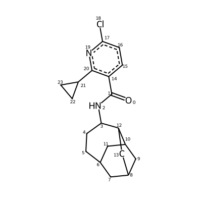 O=C(NC1CCC2CC3CC(C2)C1C3)c1ccc(Cl)nc1C1CC1